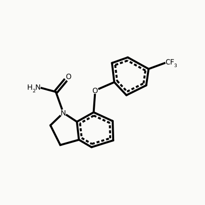 NC(=O)N1CCc2cccc(Oc3ccc(C(F)(F)F)cc3)c21